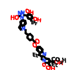 CCc1c2c(nc3ccc(OC(=O)C4CCC(CCn5ccc6cc(-n7c(O)nnc7-c7cc(C(C)C)c(O)cc7O)ccc65)CC4)cc13)-c1cc([C@@](O)(CC)C(=O)O)c(CO)c(=O)n1C2